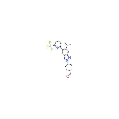 CC(C)c1cc2nn(C3CCC(C=O)CC3)cc2cc1-c1cccc(C(F)(F)F)n1